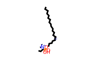 CCCCCCCCCCCCCC/C=C\CCCCOP(=O)(O)C(CC)[N+](C)(C)C